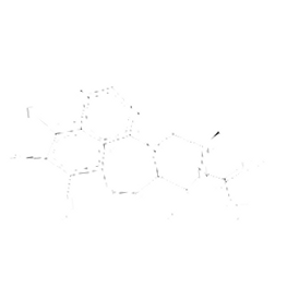 C[C@@H]1CN2c3ncnc4c(F)c(Br)c(Cl)c(c34)OC[C@@H]2CN1C(=O)O